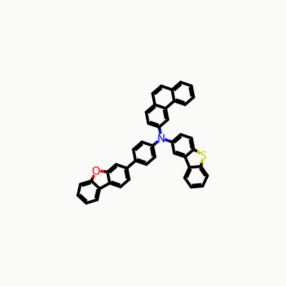 c1ccc2c(c1)ccc1ccc(N(c3ccc(-c4ccc5c(c4)oc4ccccc45)cc3)c3ccc4sc5ccccc5c4c3)cc12